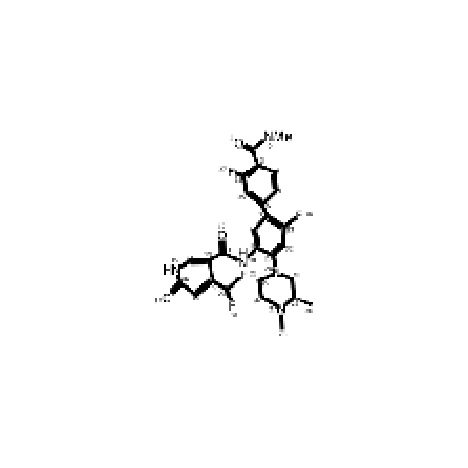 CNC(=O)c1ccc(-c2cc(NC(=O)c3c[nH]c(=O)cc3C(F)F)c(N3CCN(C)[C@H](C)C3)cc2F)cc1F